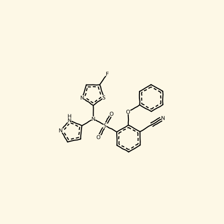 N#Cc1cccc(S(=O)(=O)N(c2ccn[nH]2)c2ncc(F)s2)c1Oc1ccccc1